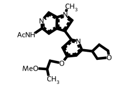 COC(C)COc1cc(-c2cn(C)c3cnc(NC(C)=O)cc23)nc(C2CCOC2)c1